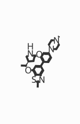 Cc1nc2cc(-c3ccc(N4CCN(C)CC4)cc3)cc(OC(C)[C@H]3CNC(=O)C3)c2s1